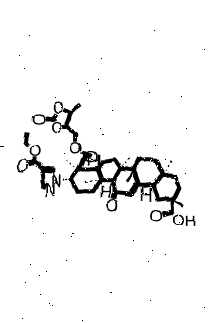 CCOC(=O)c1cnn([C@H]2CC[C@@]3(C)[C@@H](CC[C@]4(C)[C@@H]3C(=O)C=C3[C@@H]5C[C@@](C)(C(=O)O)CC[C@]5(C)CC[C@]34C)[C@]2(C)C(=O)OCc2oc(=O)oc2C)c1